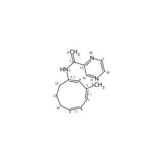 C=C(N/C1=C/C(C)=C\C=C/CCC1)c1cnccn1